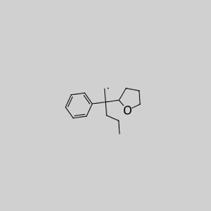 [CH2]C(CCC)(c1ccccc1)C1CCCO1